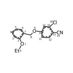 CCOc1ccccc1COc1ccc(C#N)c(Cl)c1